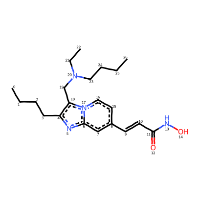 CCCCc1nc2cc(/C=C/C(=O)NO)ccn2c1CN(CC)CCCC